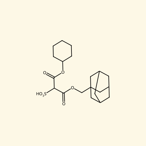 O=C(OCC12CC3CC(CC(C3)C1)C2)C(C(=O)OC1CCCCC1)S(=O)(=O)O